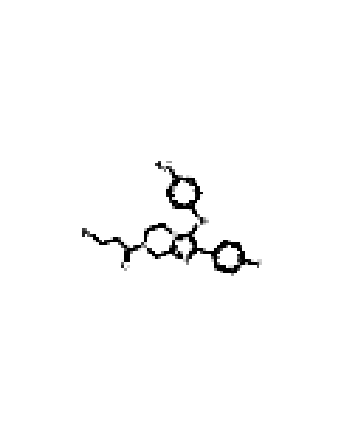 Cc1ccc(Nc2c(-c3ccc(F)cc3)nc3n2CCN(C(=O)CCC(C)C)C3)cc1